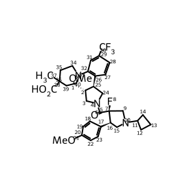 COC[C@H]1CN(C(=O)[C@]2(F)CN(C3CCC3)C[C@H]2c2ccc(OC)cc2)C[C@@H]1c1ccc(C(F)(F)F)cc1N1CCC(C)(C(=O)O)CC1